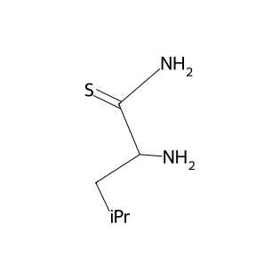 CC(C)CC(N)C(N)=S